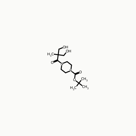 CC(C)(C)OC(=O)N1CCN(C(=O)C(C)(CO)CO)CC1